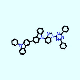 c1ccc(-c2nc(-c3ccccc3)nc(-n3cnc4c(-n5c6ccccc6c6cc(-c7ccc8c(c7)c7ccccc7n8-c7ccccc7)ccc65)cccc43)n2)cc1